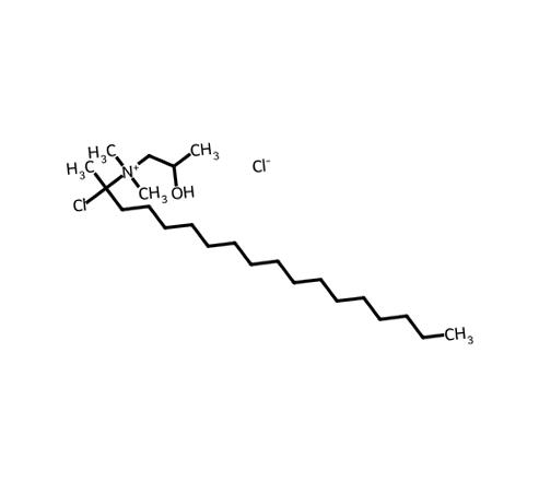 CCCCCCCCCCCCCCCCC(C)(Cl)[N+](C)(C)CC(C)O.[Cl-]